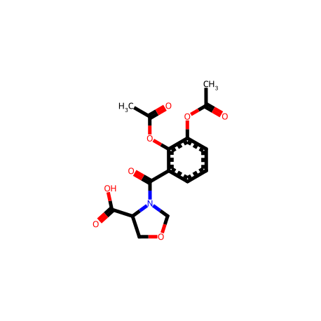 CC(=O)Oc1cccc(C(=O)N2COCC2C(=O)O)c1OC(C)=O